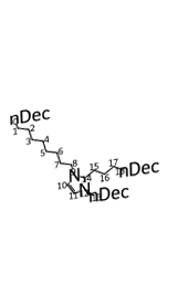 CCCCCCCCCCCCCCCCCCN1C=CN(CCCCCCCCCC)C1CCCCCCCCCCCCC